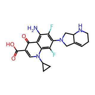 Nc1c(F)c(N2CC3=CCCNC3C2)c(F)c2c1c(=O)c(C(=O)O)cn2C1CC1